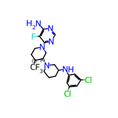 Nc1ncnc(N2CC[C@H](C(F)(F)F)[C@@H](N3CCCC(Nc4cc(Cl)cc(Cl)c4)C3)C2)c1F